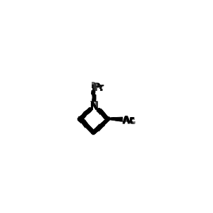 CC(=O)[C@H]1CCN1C(C)C